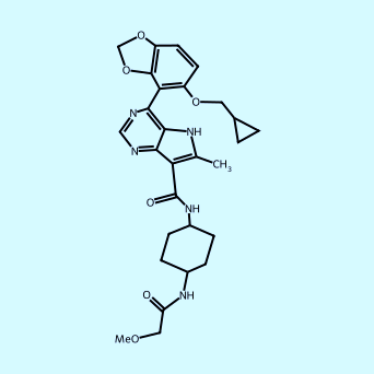 COCC(=O)NC1CCC(NC(=O)c2c(C)[nH]c3c(-c4c(OCC5CC5)ccc5c4OCO5)ncnc23)CC1